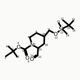 CC(C)(C)OC(=O)N1CCC(CO[Si](C)(C)C(C)(C)C)CC1C=O